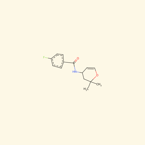 CC1(C)CC(NC(=O)c2ccc(F)cc2)C=CO1